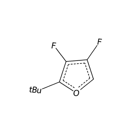 CC(C)(C)c1occ(F)c1F